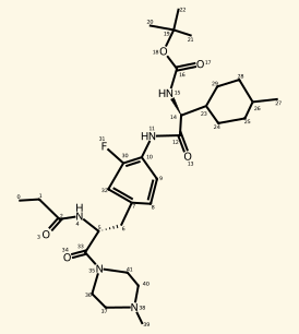 CCC(=O)N[C@H](Cc1ccc(NC(=O)[C@@H](NC(=O)OC(C)(C)C)C2CCC(C)CC2)c(F)c1)C(=O)N1CCN(C)CC1